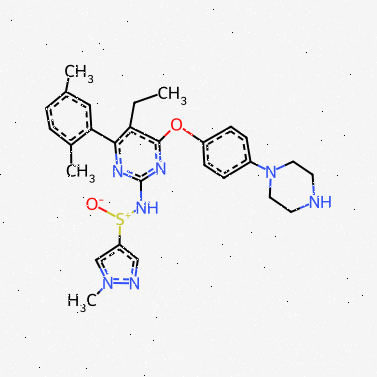 CCc1c(Oc2ccc(N3CCNCC3)cc2)nc(N[S+]([O-])c2cnn(C)c2)nc1-c1cc(C)ccc1C